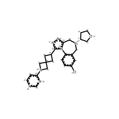 Clc1ccc2c(c1)CN([C@@H]1CCOC1)Cc1nnc(C3CC4(C3)CN(c3ccncn3)C4)n1-2